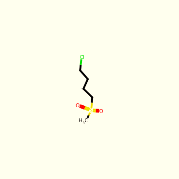 CS(=O)(=O)C[CH]CCCl